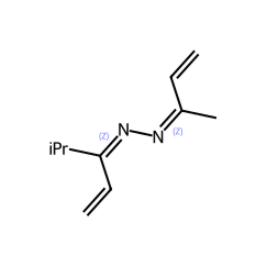 C=C/C(C)=N\N=C(/C=C)C(C)C